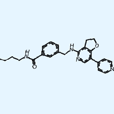 O=C(NCCCF)c1cccc(CNc2ncc(-c3ccncc3)c3c2CCO3)c1